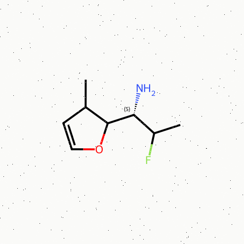 CC1C=COC1[C@H](N)C(C)F